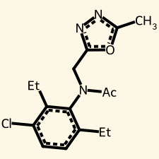 CCc1ccc(Cl)c(CC)c1N(Cc1nnc(C)o1)C(C)=O